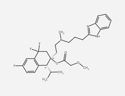 COCC(=O)O[C@]1(CCN(C)CCCc2nc3ccccc3[nH]2)CC(F)(F)c2cc(F)ccc2[C@H]1C(C)C